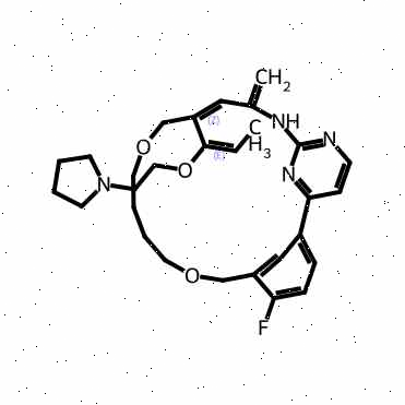 C=C1/C=C(\C(=C/C)OCCN2CCCC2)COCCCCOCc2cc(ccc2F)-c2ccnc(n2)N1